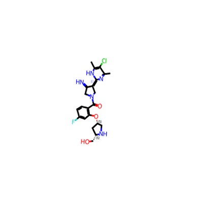 CC1=N/C(=C2\CN(C(=O)c3ccc(F)cc3O[C@@H]3CN[C@H](CO)C3)CC2=N)NC(C)=C1Cl